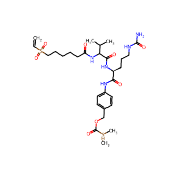 C=CS(=O)(=O)CCCCCC(=O)NC(C(=O)N[C@@H](CCCNC(N)=O)C(=O)Nc1ccc(COC(=O)[SH](C)C)cc1)C(C)C